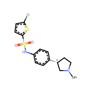 CCCN1CC[C@@H](c2ccc(NS(=O)(=O)c3ccc(Cl)s3)cc2)C1